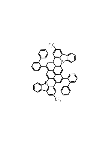 FC(F)(F)c1cc2c3c(c1)-c1cc(-c4ccccc4-c4ccccc4)c4cc5c6c(cc(-c7ccccc7-c7ccccc7)c7cc(c1c4c76)B3c1ccccc1-2)-c1cc(C(F)(F)F)cc2c1B5c1ccccc1-2